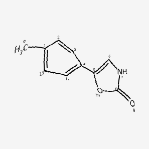 Cc1ccc(-c2c[nH]c(=O)o2)cc1